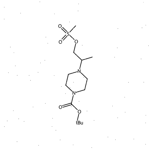 CC(COS(C)(=O)=O)N1CCN(C(=O)OC(C)(C)C)CC1